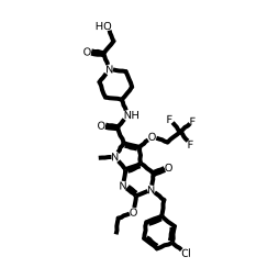 CCOc1nc2c(c(OCC(F)(F)F)c(C(=O)NC3CCN(C(=O)CO)CC3)n2C)c(=O)n1Cc1cccc(Cl)c1